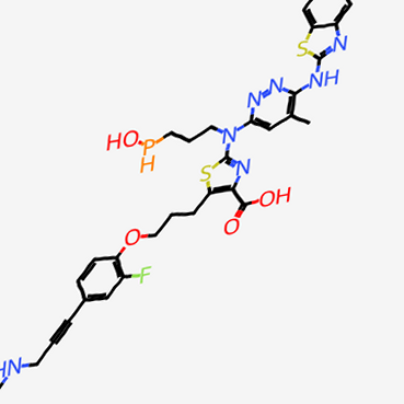 CNCC#Cc1ccc(OCCCc2sc(N(CCCPO)c3cc(C)c(Nc4nc5ccccc5s4)nn3)nc2C(=O)O)c(F)c1